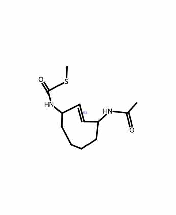 CSC(=O)NC1/C=C/C(NC(C)=O)CCCC1